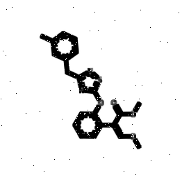 CO/C=C(\C(=O)OC)c1ccccc1Oc1nc(Cc2cccc(C)c2)ns1